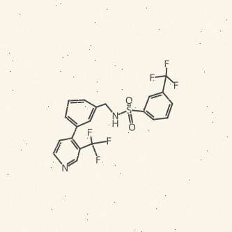 O=S(=O)(NCc1cccc(-c2ccncc2C(F)(F)F)c1)c1cccc(C(F)(F)F)c1